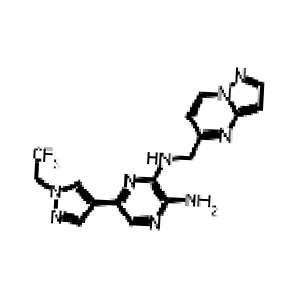 Nc1ncc(-c2cnn(CC(F)(F)F)c2)nc1NCc1ccn2nccc2n1